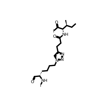 CC[C@H](C)[C@H](NC(=O)CCc1cn(CCCC[C@@H](C=O)NI)nn1)C(=O)I